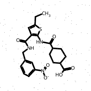 CCc1cc(C(=O)NCc2cccc([N+](=O)[O-])c2)c(NC(=O)C2CCC(C(=O)O)CC2)s1